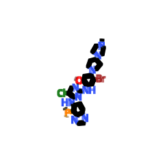 COc1cc(N2CCC(N3CCN(C)CC3)CC2)c(Br)cc1Nc1ncc(Cl)c(Nc2ccc3nccnc3c2P(C)C)n1